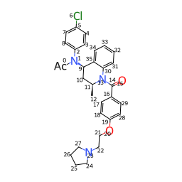 CC(=O)N(c1ccc(Cl)cc1)[C@@H]1C[C@H](C)N(C(=O)c2ccc(OCCN3CCCC3)cc2)c2ccccc21